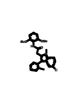 COc1cccc(OC)c1NC(=O)Cc1c(-c2ccccc2C)c2cc(Cl)ccc2n1C